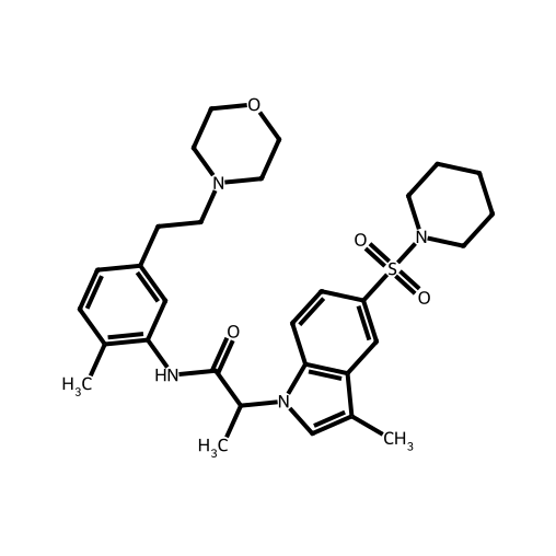 Cc1ccc(CCN2CCOCC2)cc1NC(=O)C(C)n1cc(C)c2cc(S(=O)(=O)N3CCCCC3)ccc21